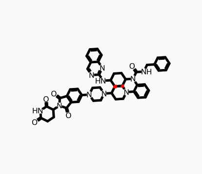 O=C1CCC(N2C(=O)c3ccc(N4CCN(C5CCN(c6ccccc6N(C(=O)NCc6ccccc6)C6CCC(Nc7ncc8ccccc8n7)CC6)CC5)CC4)cc3C2=O)C(=O)N1